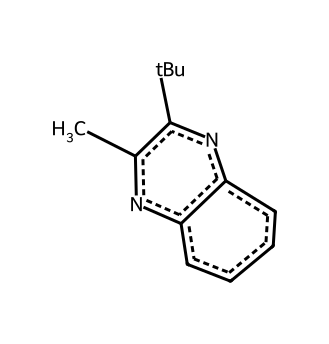 Cc1nc2ccccc2nc1C(C)(C)C